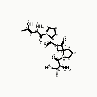 CC(O)=C[C@H](N)C(=O)N1CCC[C@@H]1C(=O)N1CC2(CCCN2C(=O)[C@@H](N)[C@@H](C)O)C1=O